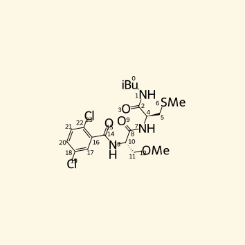 CC[C@@H](C)NC(=O)[C@@H](CSC)NC(=O)[C@H](COC)NC(=O)c1cc(Cl)ccc1Cl